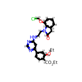 CCOC(=O)c1ccc(-c2cc(NCCN3C(=O)Cc4cccc(OCCl)c43)ncn2)cc1OCC